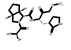 CC(C)[C@@H](O)C(=O)N1C[C@@H]2CCC[C@@H]2[C@H]1C(=O)N[C@@H](C[C@@H]1CCNC1=O)C(=O)COC(F)(F)F